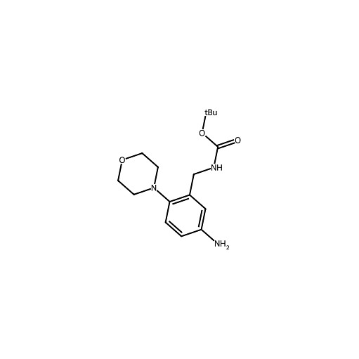 CC(C)(C)OC(=O)NCc1cc(N)ccc1N1CCOCC1